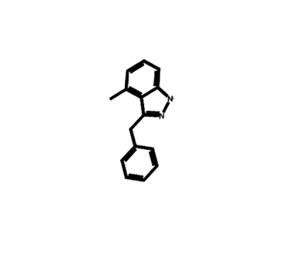 Cc1cccc2c1C(Cc1ccccc1)=N[N]2